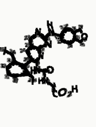 O=C(O)CNC(=O)Nc1nc2nc(Nc3ccc4c(c3)COC4)ncc2cc1-c1c(CI)cccc1CI